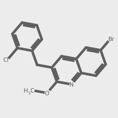 COc1nc2ccc(Br)cc2cc1Cc1ccccc1Cl